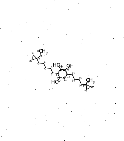 CCC1(CCCCCc2c(O)cc(CCCCC3(C)CC3)c(O)c2O)CC1